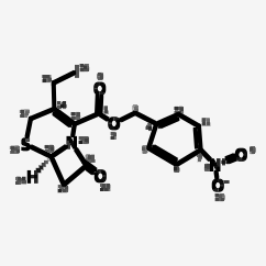 O=C(OCc1ccc([N+](=O)[O-])cc1)C1=C(CI)CS[C@@H]2CC(=O)N12